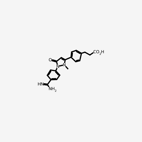 Cn1c(-c2ccc(CCC(=O)O)cc2)cc(=O)n1-c1ccc(C(=N)N)cc1